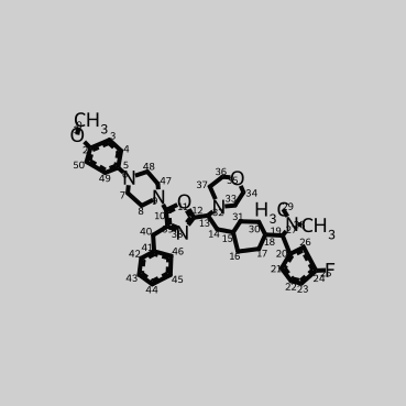 COc1ccc(N2CCN(c3oc(C(CC4CCC(C(c5cccc(F)c5)N(C)C)CC4)N4CCOCC4)nc3Cc3ccccc3)CC2)cc1